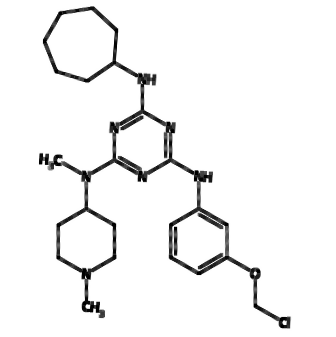 CN1CCC(N(C)c2nc(Nc3cccc(OCCl)c3)nc(NC3CCCCCC3)n2)CC1